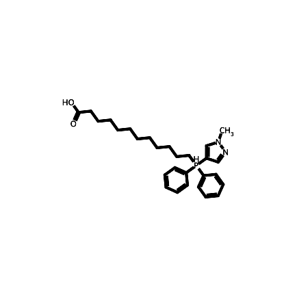 Cn1cc([PH](CCCCCCCCCCCC(=O)O)(c2ccccc2)c2ccccc2)cn1